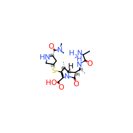 CC(N)C(=O)N[C@H](C)[C@H]1C(=O)N2C(C(=O)O)=C(S[C@@H]3CN[C@H](C(=O)N(C)C)C3)[C@H](C)[C@H]12